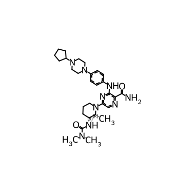 C[C@@H]1[C@H](NC(=O)N(C)C)CCCN1c1cnc(C(N)=O)c(Nc2ccc(N3CCN(C4CCCC4)CC3)cc2)n1